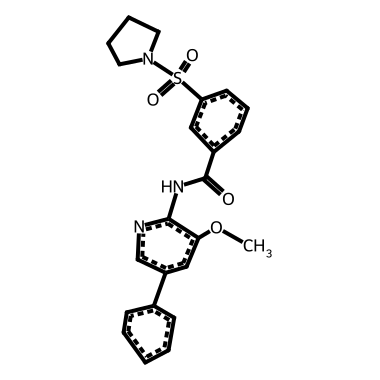 COc1cc(-c2ccccc2)cnc1NC(=O)c1cccc(S(=O)(=O)N2CCCC2)c1